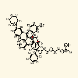 CCCC1(CCC)c2cc(Br)ccc2-c2c1c1c(c3ccc(N4CCCCC4)cc23)OCC=C1C1=C(OC)C=CC(OCCOCCOC(C)O)(c2ccccc2)C1